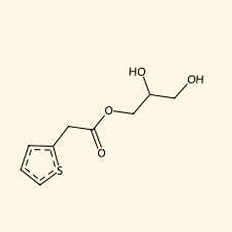 O=C(Cc1cccs1)OCC(O)CO